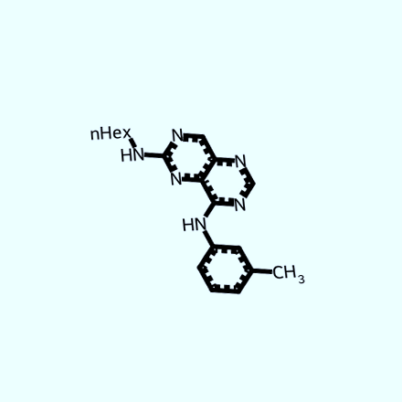 CCCCCCNc1ncc2ncnc(Nc3cccc(C)c3)c2n1